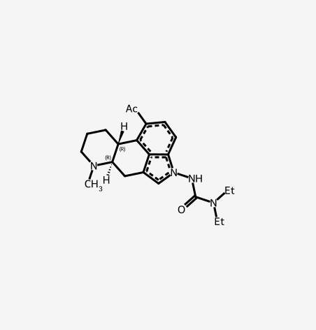 CCN(CC)C(=O)Nn1cc2c3c(c(C(C)=O)ccc31)[C@H]1CCCN(C)[C@@H]1C2